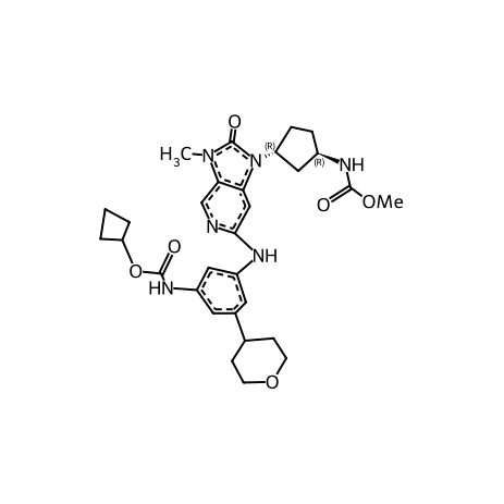 COC(=O)N[C@@H]1CC[C@@H](n2c(=O)n(C)c3cnc(Nc4cc(NC(=O)OC5CCC5)cc(C5CCOCC5)c4)cc32)C1